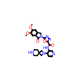 COc1cc2c(cc1OC)C(=O)N(c1nnc(C(=O)Nc3cnccc3N3CC4(CCNCC4)C3)o1)C2